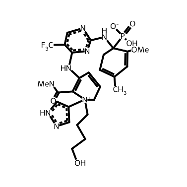 CNC(=O)C1=C(Nc2nc(NC3(P(=O)([O-])O)CC=C(C)C=C3OC)ncc2C(F)(F)F)C=CC[N+]1(CCCCO)c1cn[nH]c1